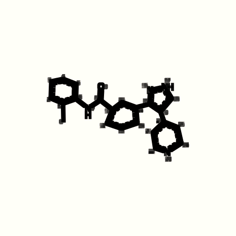 Cc1ccccc1NC(=O)c1cccc(-c2n[nH]cc2-c2ccncc2)c1